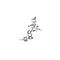 Cc1ccc(Nc2cc3ncn(-c4ccc([C@H](C)O)c(-n5nc(OC(F)F)cc5C)n4)c3cc2F)nn1